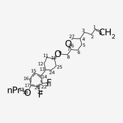 C=CCCC1CCC(COC2CCC(c3ccc(OCCC)c(F)c3F)CC2)OC1